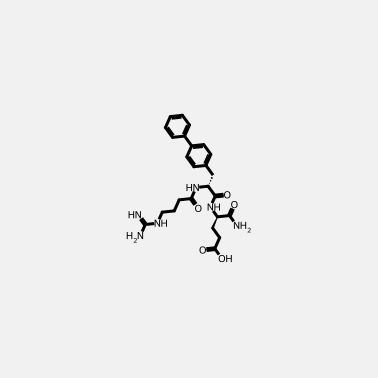 N=C(N)NCCCC(=O)N[C@H](Cc1ccc(-c2ccccc2)cc1)C(=O)N[C@H](CCC(=O)O)C(N)=O